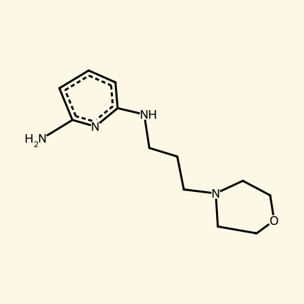 Nc1cccc(NCCCN2CCOCC2)n1